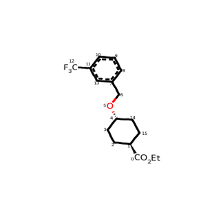 CCOC(=O)[C@H]1CC[C@H](OCc2cccc(C(F)(F)F)c2)CC1